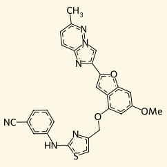 COc1cc(OCc2csc(Nc3cccc(C#N)c3)n2)c2cc(-c3cn4nc(C)ccc4n3)oc2c1